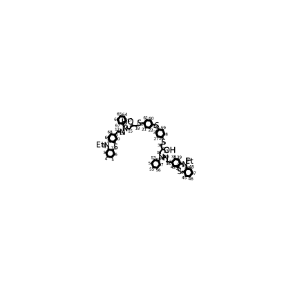 CCN1c2ccccc2Sc2cc(C=NN(CC(O)CSc3ccc(Sc4ccc(SCC(O)CN(N=Cc5ccc6c(c5)Sc5ccccc5N6CC)c5ccccc5)cc4)cc3)c3ccccc3)ccc21